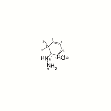 CC1(C)C=CC=CC1NN.Cl